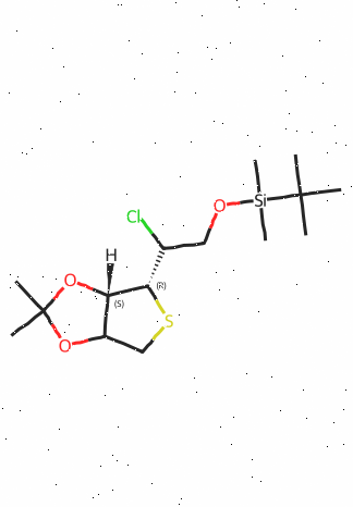 CC1(C)OC2CS[C@@H](C(Cl)CO[Si](C)(C)C(C)(C)C)[C@H]2O1